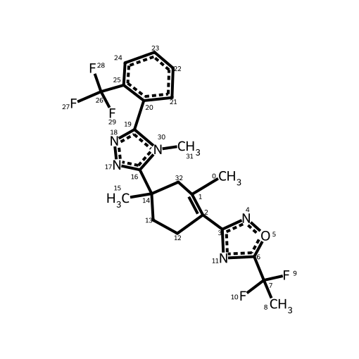 CC1=C(c2noc(C(C)(F)F)n2)CCC(C)(c2nnc(-c3ccccc3C(F)(F)F)n2C)C1